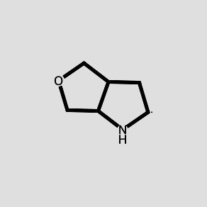 [CH]1CC2COCC2N1